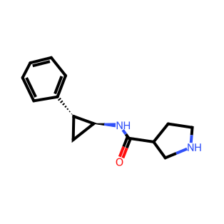 O=C(N[C@H]1C[C@@H]1c1ccccc1)C1CCNC1